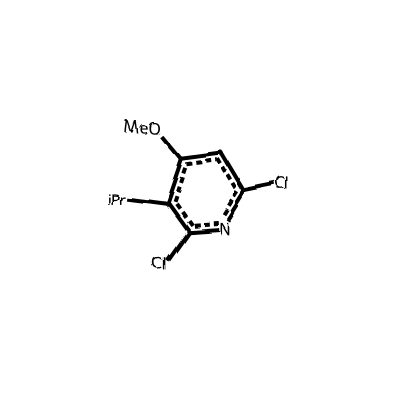 COc1cc(Cl)nc(Cl)c1C(C)C